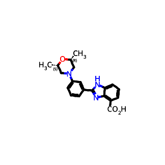 C[C@@H]1CN(c2cccc(-c3nc4c(C(=O)O)cccc4[nH]3)c2)C[C@H](C)O1